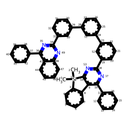 C[Si]1(C)c2ccccc2-c2c(-c3ccccc3)nc(-c3cccc(-c4cccc(-c5cccc(-c6nc(-c7ccccc7)c7ccccc7n6)c5)c4)c3)nc21